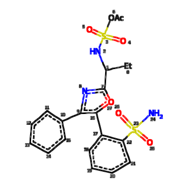 CCC(NS(=O)(=O)OC(C)=O)c1nc(-c2ccccc2)c(-c2ccccc2S(N)(=O)=O)o1